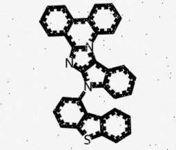 c1ccc2c(c1)sc1cccc(-n3c4ccccc4c4c3nc3c5ccccc5c5ccccc5n34)c12